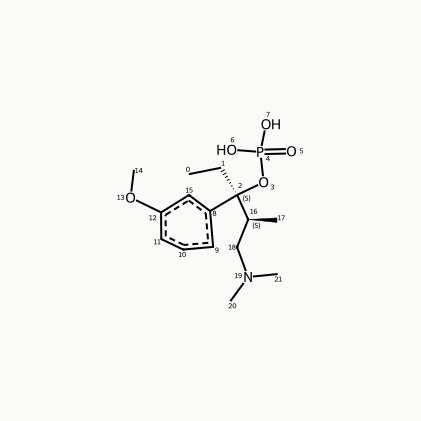 CC[C@@](OP(=O)(O)O)(c1cccc(OC)c1)[C@@H](C)CN(C)C